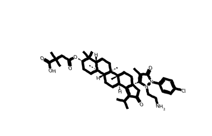 Cc1c([C@@]23CC[C@]4(C)[C@H](CC[C@@H]5[C@@]6(C)CC[C@H](OC(=O)CC(C)(C)C(=O)O)C(C)(C)[C@@H]6CC[C@]54C)C2=C(C(C)C)C(=O)C3)n(CCN)n(-c2ccc(Cl)cc2)c1=O